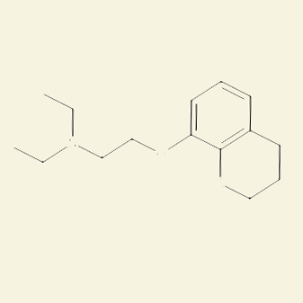 CCN(CC)CCOc1cccc2c1SCCC2